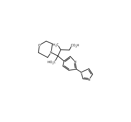 CC(CC(=O)O)C(C(=O)O)(c1ccc(-n2ccnc2)nc1)N1CCOCC1